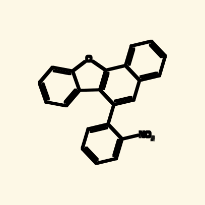 O=[N+]([O-])c1ccccc1-c1cc2ccccc2c2oc3ccccc3c12